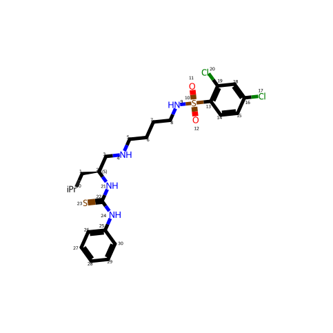 CC(C)C[C@@H](CNCCCCNS(=O)(=O)c1ccc(Cl)cc1Cl)NC(=S)Nc1ccccc1